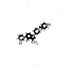 Cc1cn(C2CCN(CC3(F)CCNCC3)CC2)c2ccc(N3C=CCNC3)c(F)c12